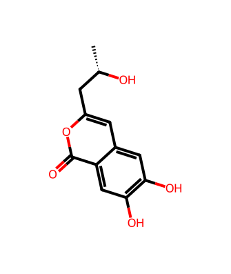 C[C@H](O)Cc1cc2cc(O)c(O)cc2c(=O)o1